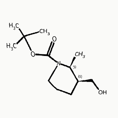 C[C@H]1[C@@H](CO)CCCN1C(=O)OC(C)(C)C